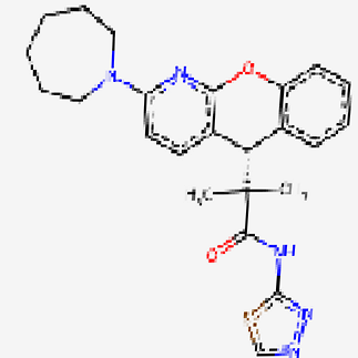 CC(C)(C(=O)Nc1nncs1)[C@H]1c2ccccc2Oc2nc(N3CCCCCC3)ccc21